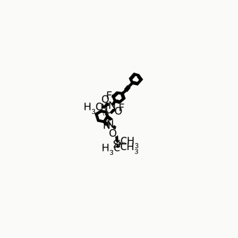 CN1C(=O)N(c2c(F)cc(C#Cc3ccccc3)cc2F)C(=O)C[C@]12CCCc1nn(COCC[Si](C)(C)C)cc12